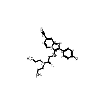 CCCN(CCC)C(=O)CNc1c(-c2ccc(Cl)cc2)nc2cc(C#N)ccn12